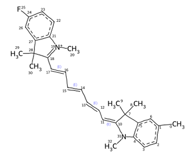 Cc1ccc2c(c1)C(C)(C)\C(=C/C=C/C=C/C=C/C1=[N+](C)c3ccc(F)cc3C1(C)C)N2C